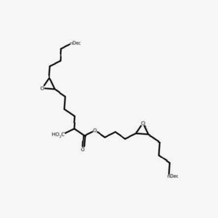 CCCCCCCCCCCCCC1OC1CCCOC(=O)C(CCCC1OC1CCCCCCCCCCCCC)C(=O)O